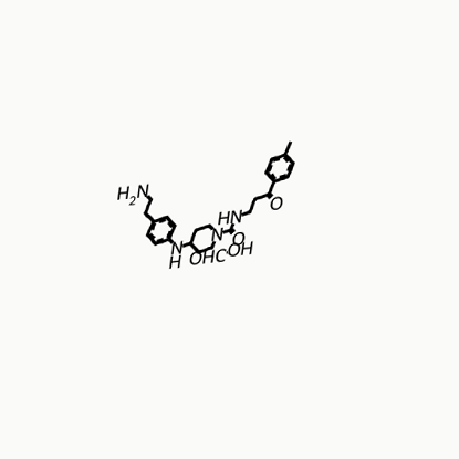 Cc1ccc(C(=O)CCNC(=O)N2CCC(Nc3ccc(CCN)cc3)CC2)cc1.O=CO